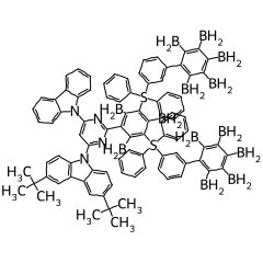 Bc1c(B)c(B)c(-c2cccc(S(c3ccccc3)(c3ccccc3)c3c(B)c(-c4nc(-n5c6ccccc6c6ccccc65)cc(-n5c6ccc(C(C)(C)C)cc6c6cc(C(C)(C)C)ccc65)n4)c(B)c(S(c4ccccc4)(c4ccccc4)c4cccc(-c5c(B)c(B)c(B)c(B)c5B)c4)c3B)c2)c(B)c1B